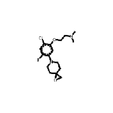 CN(C)CCOc1cc(N2CCC3(CC2)CO3)c(F)cc1Cl